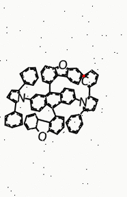 C1=CC2Oc3cccc(-c4c5cc(-n6c(-c7ccccc7)ccc6-c6ccccc6)ccc5c(-c5cccc6oc7ccccc7c56)c5cc(-n6c(-c7ccccc7)ccc6-c6ccccc6)ccc45)c3C2C=C1